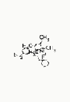 C=C(/C(C)=C\C(=C/C)C1=C(C)C=C1C)/C(=C\CCC1(F)CCCCC1)c1cccc(SC2CC2)c1